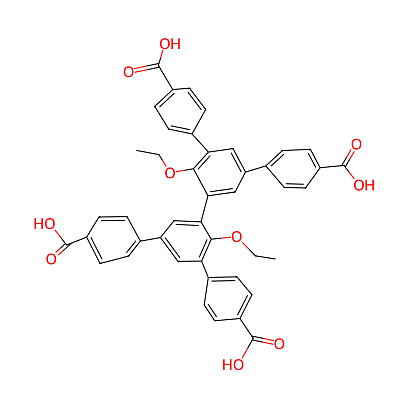 CCOc1c(-c2ccc(C(=O)O)cc2)cc(-c2ccc(C(=O)O)cc2)cc1-c1cc(-c2ccc(C(=O)O)cc2)cc(-c2ccc(C(=O)O)cc2)c1OCC